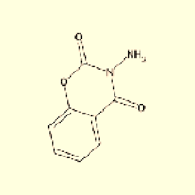 Nn1c(=O)oc2ccccc2c1=O